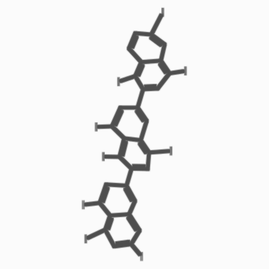 Ic1cc(I)c2c(I)cc(-c3cc(I)c4cc(-c5cc(I)c6cc(I)ccc6c5I)cc(I)c4c3I)cc2c1